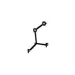 [O]O[C](F)F